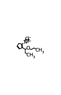 CCCOC(CC)C1=[C]([Ti+2])CC=C1.[Cl-].[Cl-]